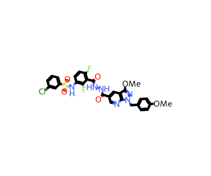 COc1ccc(Cn2nc(OC)c3cc(C(=O)NNC(=O)c4c(F)ccc(NS(=O)(=O)c5cccc(Cl)c5)c4F)cnc32)cc1